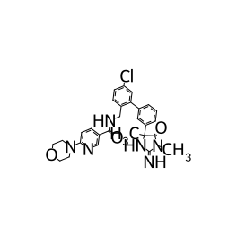 CN1C(=N)NC(C)(c2cccc(-c3cc(Cl)ccc3CNC(=O)c3ccc(N4CCOCC4)nc3)c2)C1=O